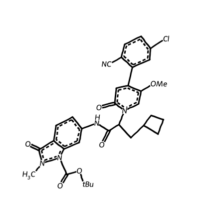 COc1cn(C(CC2CCC2)C(=O)Nc2ccc3c(=O)n(C)n(C(=O)OC(C)(C)C)c3c2)c(=O)cc1-c1cc(Cl)ccc1C#N